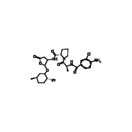 CC(C)[C@@H]1CC[C@@H](C)CC1OC1OC(=O)CC1NC(=O)[C@@H]1CCCN1C(=O)[C@H](C)NC(=O)c1ccc(N)c(Cl)c1